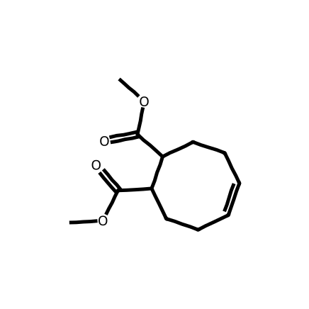 COC(=O)C1CCC=CCCC1C(=O)OC